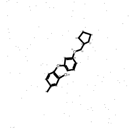 Cc1ccc(Oc2cccc(OCC3CCCC3)c2)c(Cl)c1